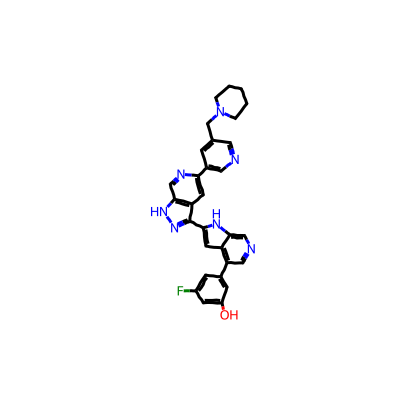 Oc1cc(F)cc(-c2cncc3[nH]c(-c4n[nH]c5cnc(-c6cncc(CN7CCCCC7)c6)cc45)cc23)c1